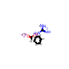 CC(=O)O.N=C(N)N.P.c1ccccc1